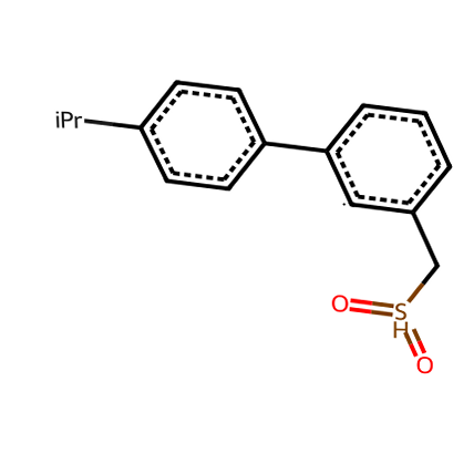 CC(C)c1ccc(-c2[c]c(C[SH](=O)=O)ccc2)cc1